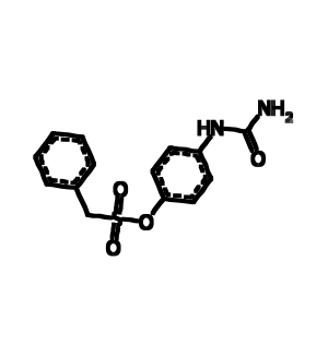 NC(=O)Nc1ccc(OS(=O)(=O)Cc2ccccc2)cc1